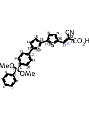 CO[N+](OC)(c1ccccc1)c1ccc(-c2ccc(-c3ccc(/C=C(\C#N)C(=O)O)s3)s2)cc1